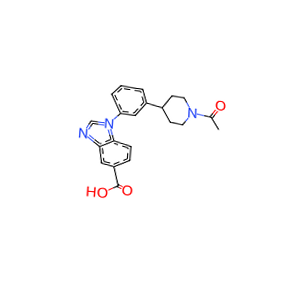 CC(=O)N1CCC(c2cccc(-n3cnc4cc(C(=O)O)ccc43)c2)CC1